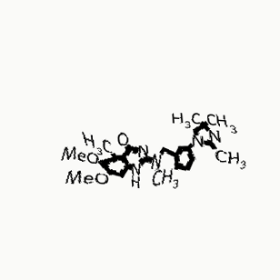 COc1cc2[nH]c(N(C)Cc3cccc(N4CC(C)(C)N=C4C)c3)nc(=O)c2c(C)c1OC